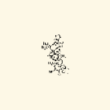 CC1(C)CC[C@]2(NS(=O)(=O)c3cccs3)CC[C@]3(C)[C@H](C(=O)C=C4[C@@]5(C)C=C(C#N)C(=O)C(C)(C)[C@@H]5CC[C@]43C)[C@@H]2C1